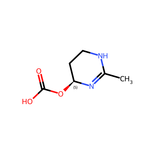 CC1=N[C@@H](OC(=O)O)CCN1